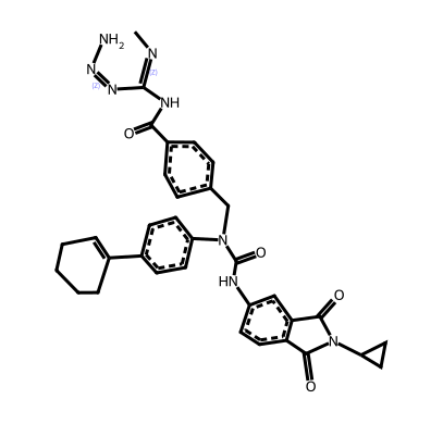 C/N=C(\N=N/N)NC(=O)c1ccc(CN(C(=O)Nc2ccc3c(c2)C(=O)N(C2CC2)C3=O)c2ccc(C3=CCCCC3)cc2)cc1